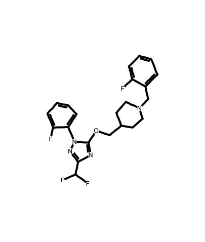 Fc1ccccc1CN1CCC(COc2nc(C(F)F)nn2-c2ccccc2F)CC1